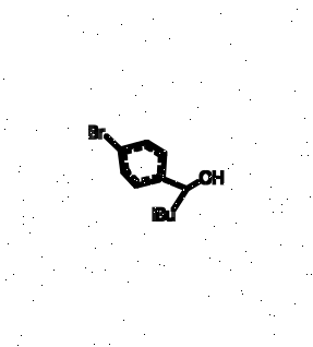 CCC(C)C(O)c1ccc(Br)cc1